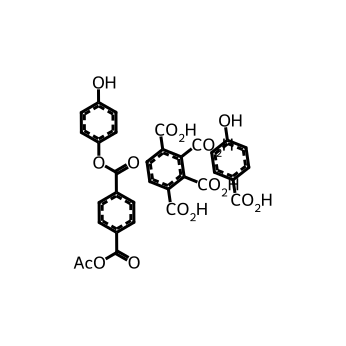 CC(=O)OC(=O)c1ccc(C(=O)Oc2ccc(O)cc2)cc1.O=C(O)c1ccc(C(=O)O)c(C(=O)O)c1C(=O)O.O=C(O)c1ccc(O)cc1